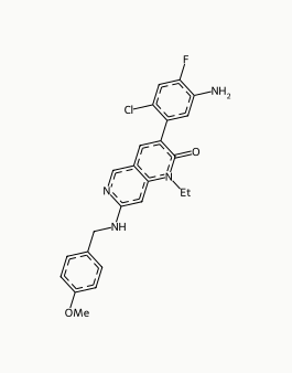 CCn1c(=O)c(-c2cc(N)c(F)cc2Cl)cc2cnc(NCc3ccc(OC)cc3)cc21